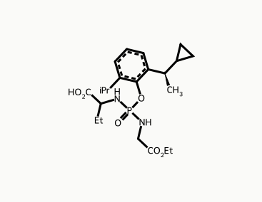 CCOC(=O)CNP(=O)(NC(CC)C(=O)O)Oc1c(C(C)C)cccc1[C@H](C)C1CC1